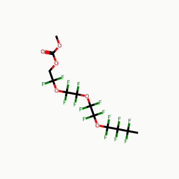 COC(=O)OCC(F)(F)OC(F)(F)C(F)(F)OC(F)(F)C(F)(F)OC(F)(F)C(F)(F)C(C)(F)F